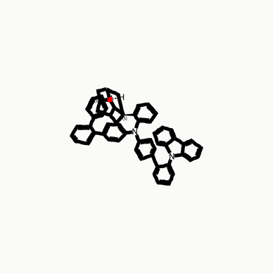 c1ccc(-c2ccccc2-c2ccc(N(c3ccc(-c4ccccc4-n4c5ccccc5c5ccccc54)cc3)c3ccccc3[C@]34CC5C[C@@H]6CC(C3)[C@H]6C54)cc2)cc1